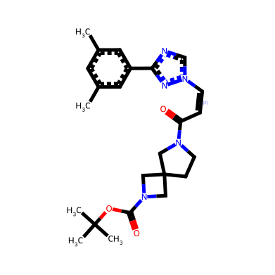 Cc1cc(C)cc(-c2ncn(/C=C\C(=O)N3CCC4(C3)CN(C(=O)OC(C)(C)C)C4)n2)c1